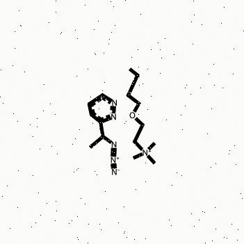 CC(N=[N+]=[N-])c1cccnn1.CCCCOCC[N+](C)(C)C